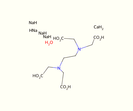 O.O=C(O)CN(CCN(CC(=O)O)CC(=O)O)CC(=O)O.[CaH2].[NaH].[NaH].[NaH].[NaH]